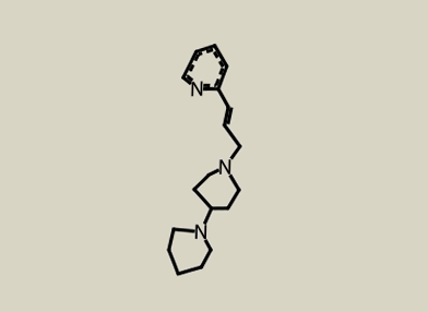 C(=C\c1ccccn1)/CN1CCC(N2CCCCC2)CC1